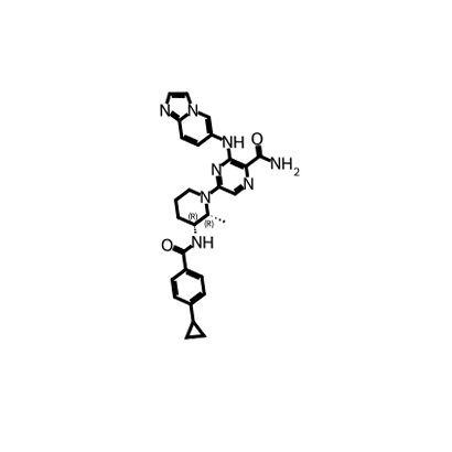 C[C@@H]1[C@H](NC(=O)c2ccc(C3CC3)cc2)CCCN1c1cnc(C(N)=O)c(Nc2ccc3nccn3c2)n1